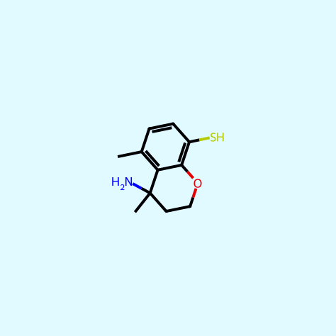 Cc1ccc(S)c2c1C(C)(N)CCO2